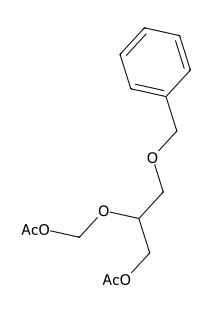 CC(=O)OCOC(COCc1ccccc1)COC(C)=O